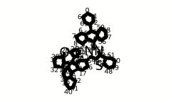 c1ccc(-c2c3ccccc3c(-c3nc(-c4ccc5c(c4)C4(c6ccccc6Oc6ccccc64)c4ccc6ccccc6c4-5)c4sc5ccccc5c4n3)c3ccccc23)cc1